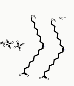 CCCCCCCC/C=C\CCCCCCCC(=O)[O-].CCCCCCCC/C=C\CCCCCCCC(=O)[O-].O=S(=O)([O-])[O-].O=S(=O)([O-])[O-].[Mg+2].[Mg+2].[Mg+2]